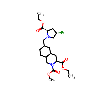 CCOC(=O)C1CC2CC(CN3C[C@H](Br)C[C@H]3C(=O)OCC)CCC2CN1C(=O)OC